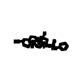 C[C@]12CC[C@@H]3c4ccc(O)cc4CC[C@H]3[C@]13C[C@@H]3C[C@H]2OC(=O)Nc1ccccc1